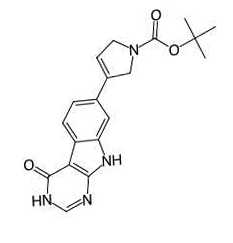 CC(C)(C)OC(=O)N1CC=C(c2ccc3c(c2)[nH]c2nc[nH]c(=O)c23)C1